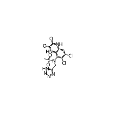 CS(=O)(=O)N(Cc1nnn[nH]1)c1c(Cl)c(Cl)cc2[nH]c(=O)c(=O)[nH]c12